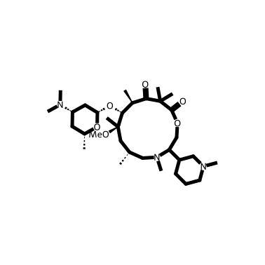 CO[C@]1(C)C[C@@H](C)CN(C)C(C2CCCN(C)C2)COC(=O)C(C)(C)C(=O)[C@H](C)[C@H]1O[C@H]1C[C@@H](N(C)C)C[C@@H](C)O1